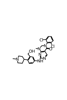 CN1CCC(c2ccc(Nc3ncc4c(n3)N(C)CN(c3c(Cl)cccc3Cl)C4=O)cc2CO)CC1